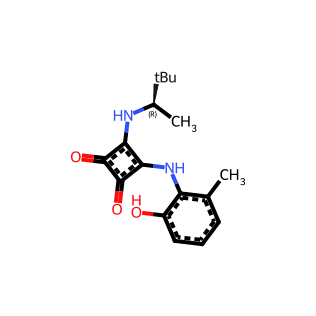 Cc1cccc(O)c1Nc1c(N[C@H](C)C(C)(C)C)c(=O)c1=O